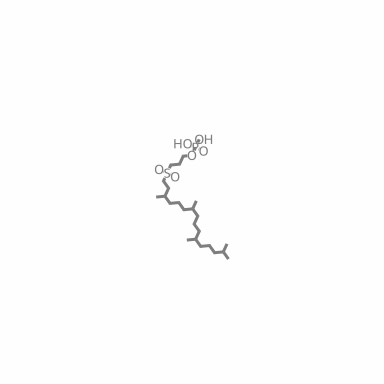 CC(C)CCCC(C)CCCC(C)CCCC(C)CCS(=O)(=O)CCCOP(=O)(O)O